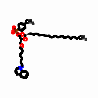 CCCCCCCCCCCCCCCCC[C@H]1OC[C@H](COCCCCCC[n+]2cccc3ccccc32)O1.Cc1ccc(S(=O)(=O)[O-])cc1